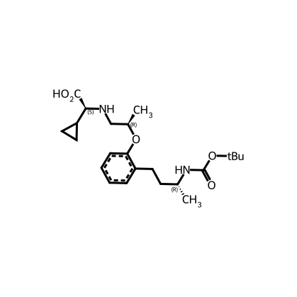 C[C@H](CCc1ccccc1O[C@H](C)CN[C@H](C(=O)O)C1CC1)NC(=O)OC(C)(C)C